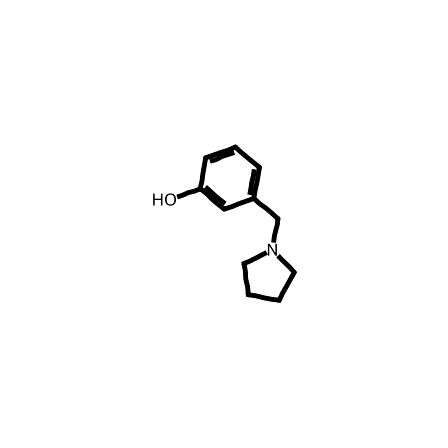 Oc1cccc(CN2CCCC2)c1